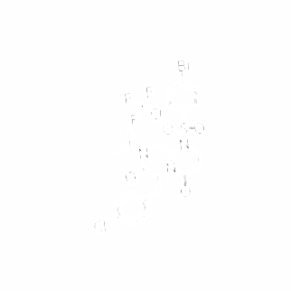 CC(C)N1CC2N(C(=O)CCN2S(=O)(=O)c2ccc(Br)cc2OC(F)(F)F)C(Cc2ccc(Cl)cc2)C1=O